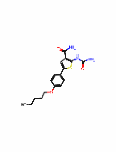 N#CCCCCOc1ccc(-c2cc(C(N)=O)c(NC(N)=O)s2)cc1